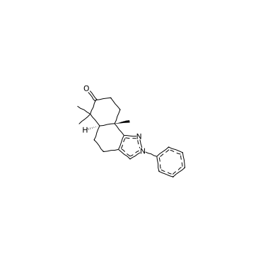 CC1(C)C(=O)CC[C@]2(C)c3nn(-c4ccccc4)cc3CC[C@@H]12